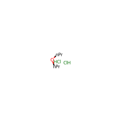 CCCOCCC.Cl.Cl